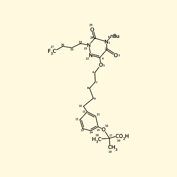 CCCCn1c(=O)c(OCCCCCc2cccc(OC(C)(C)C(=O)O)c2)nn(CCCC(F)(F)F)c1=O